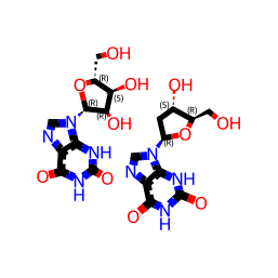 O=c1[nH]c(=O)c2ncn([C@@H]3O[C@H](CO)[C@@H](O)[C@H]3O)c2[nH]1.O=c1[nH]c(=O)c2ncn([C@H]3C[C@H](O)[C@@H](CO)O3)c2[nH]1